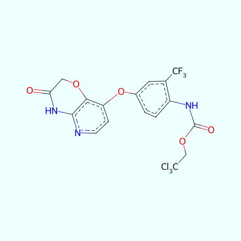 O=C1COc2c(Oc3ccc(NC(=O)OCC(Cl)(Cl)Cl)c(C(F)(F)F)c3)ccnc2N1